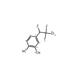 N#Cc1ccc(C(F)C(F)(F)C(F)(F)F)cc1C#N